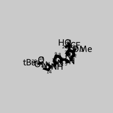 COc1cc2ncc(-c3cccc(NC4CCN(C(=O)OC(C)(C)C)C4)n3)n2cc1C(C)(O)C(F)(F)F